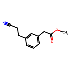 COC(=O)Cc1cccc(CCC#N)c1